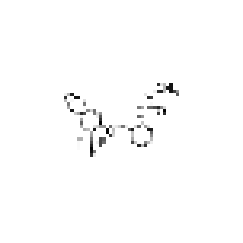 CCc1ccc(OCc2ccccc2OC(=O)OC)c(C(F)(F)F)c1